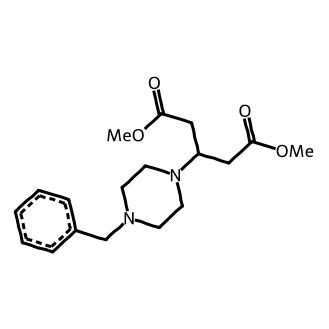 COC(=O)CC(CC(=O)OC)N1CCN(Cc2ccccc2)CC1